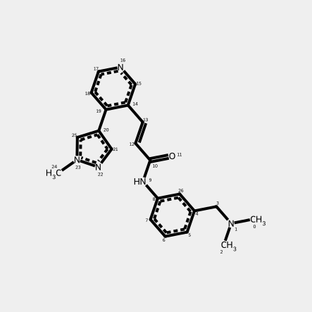 CN(C)Cc1cccc(NC(=O)/C=C/c2cnccc2-c2cnn(C)c2)c1